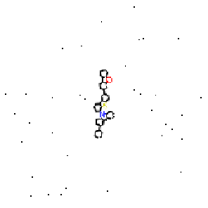 c1ccc(-c2ccc3c(c2)c2ccccc2n3-c2cccc3c2sc2ccc(-c4ccc5c(c4)oc4ccccc45)cc23)cc1